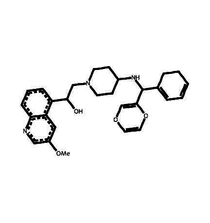 COc1cnc2cccc(C(O)CN3CCC(NC(C4=CC=CCC4)C4=COC=CO4)CC3)c2c1